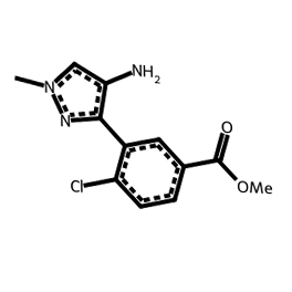 COC(=O)c1ccc(Cl)c(-c2nn(C)cc2N)c1